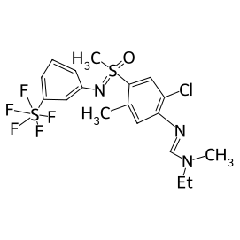 CCN(C)C=Nc1cc(C)c(S(C)(=O)=Nc2cccc(S(F)(F)(F)(F)F)c2)cc1Cl